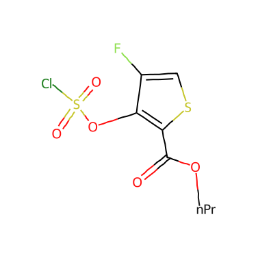 CCCOC(=O)c1scc(F)c1OS(=O)(=O)Cl